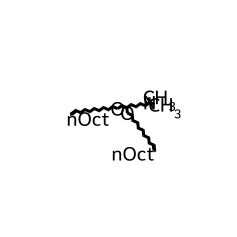 CCCCCCCC/C=C\CCCCCCCCOCC(CCCCN(C)C)OCCCCCCCC/C=C\CCCCCCCC